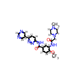 CN1CCN(CC(=O)Nc2cc(C(=O)Nc3ccc(-c4cncnc4)nn3)ccc2OC(F)(F)F)CC1